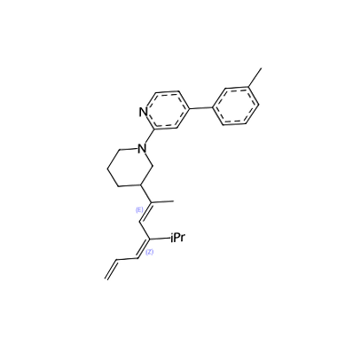 C=C/C=C(\C=C(/C)C1CCCN(c2cc(-c3cccc(C)c3)ccn2)C1)C(C)C